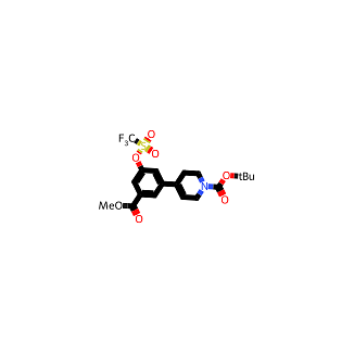 COC(=O)c1cc(OS(=O)(=O)C(F)(F)F)cc(C2=CCN(C(=O)OC(C)(C)C)CC2)c1